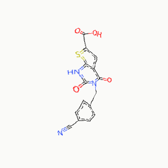 N#Cc1ccc(Cn2c(=O)[nH]c3sc(C(=O)O)cc3c2=O)cc1